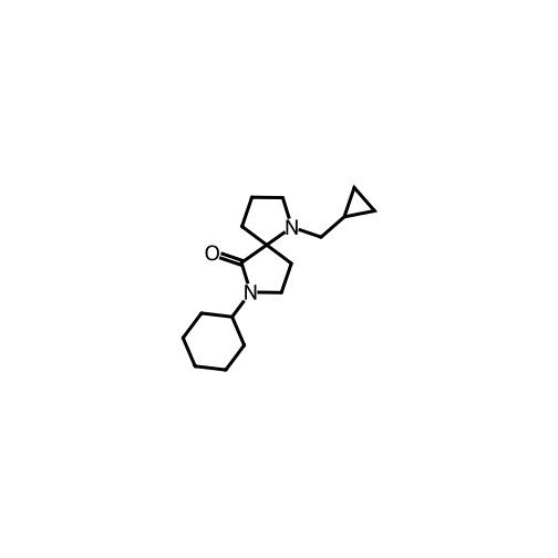 O=C1N(C2CCCCC2)CCC12CCCN2CC1CC1